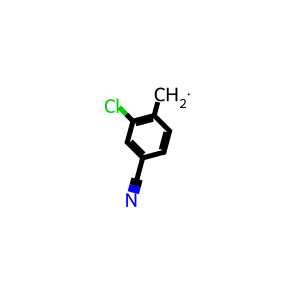 [CH2]c1ccc(C#N)cc1Cl